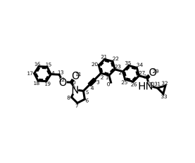 Cc1c(C#CC2CCCN2C(=O)OCc2ccccc2)cccc1-c1ccc(C(=O)NC2CC2)cc1